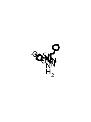 COc1ccc(OC)c(Sc2nc3c(N)ncnc3n2CCC2CCCCCC2)c1